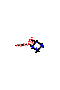 C=CC1=C(C)c2cc3[nH]c(cc4nc(cc5[nH]c(cc1n2)c(C)c5CCC(O)OCCOCCOCCOC)C(CCC(=O)OC)C4C)c(C)c3C=C